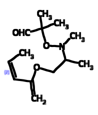 C=C(/C=C\C)OCC(C)N(C)OC(C)(C)C=O